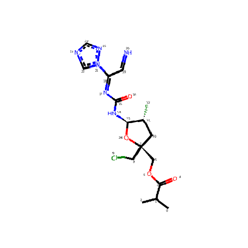 CC(C)C(=O)OC[C@]1(CCl)C[C@@H](F)[C@H](NC(=O)/N=C(\C=N)n2cncn2)O1